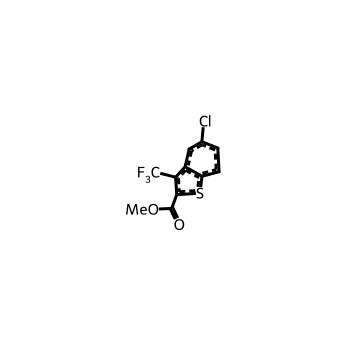 COC(=O)c1sc2ccc(Cl)cc2c1C(F)(F)F